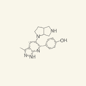 Cc1n[nH]c2nc(-c3ccc(O)cc3)c(N3CCC4CNCC43)[c]c12